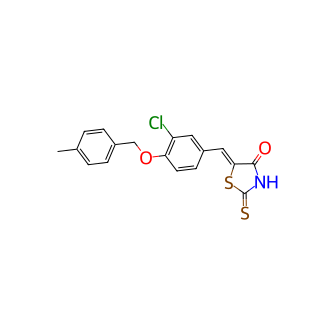 Cc1ccc(COc2ccc(/C=C3\SC(=S)NC3=O)cc2Cl)cc1